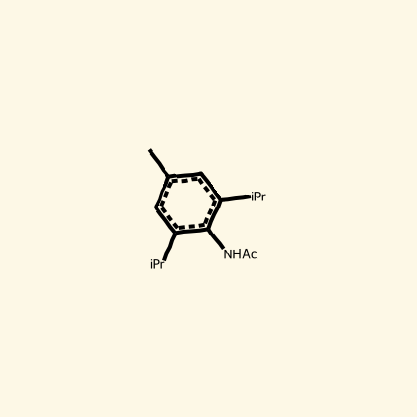 CC(=O)Nc1c(C(C)C)cc(C)cc1C(C)C